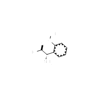 COc1ccccc1[C@@H](N)C(=O)O